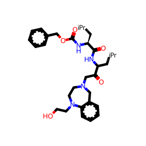 CC(C)CC(NC(=O)[C@H](CC(C)C)NC(=O)OCc1ccccc1)C(=O)CN1CCN(CCO)c2ccccc2C1